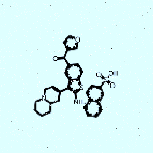 Nc1sc2ccc(C(=O)c3ccoc3)cc2c1C1=CCN2CCCCC2C1.O=S(=O)(O)c1ccc2ccccc2c1